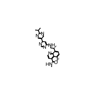 CNC(=O)c1ccnc2c([C@H](C)CNc3cc(-c4cnc(C(C)C)nc4)ncn3)ccc(F)c12